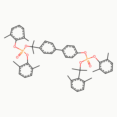 Cc1cccc(C)c1OP(=O)(Oc1c(C)cccc1C)OC(C)(C)c1ccc(-c2ccc(OP(=O)(Oc3c(C)cccc3C)OC(C)(C)c3c(C)cccc3C)cc2)cc1